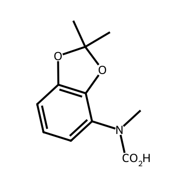 CN(C(=O)O)c1cccc2c1OC(C)(C)O2